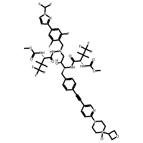 COC(=O)N[C@H](C(=O)N[C@@H](Cc1ccc(C#Cc2ccc(N3CC[N+]([O-])(C4COC4)CC3)nc2)cc1)[C@@H](O)CN(Cc1c(F)cc(-c2ccn(C(F)F)n2)cc1F)NC(=O)[C@@H](NC(=O)OC)C(C)(C)C(F)(F)F)C(C)(C)C(F)(F)F